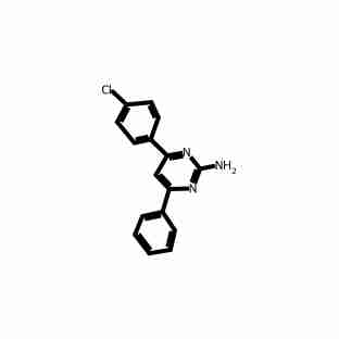 Nc1nc(-c2ccccc2)cc(-c2ccc(Cl)cc2)n1